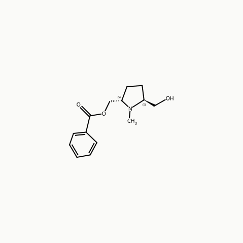 CN1[C@H](CO)CC[C@H]1COC(=O)c1ccccc1